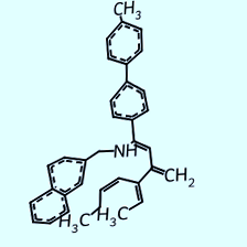 C=C(/C=C(\NCc1ccc2ccccc2c1)c1ccc(-c2ccc(C)cc2)cc1)C(/C=C\CC)=C/C